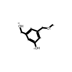 COCc1cc(O)cc(CO)c1